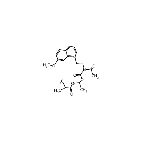 COc1ccc2cccc(CCN(C(C)=O)C(=O)OC(C)OC(=O)C(C)C)c2c1